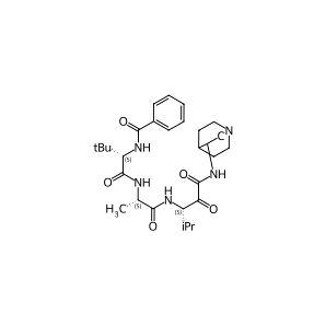 CC(C)[C@H](NC(=O)[C@H](C)NC(=O)[C@@H](NC(=O)c1ccccc1)C(C)(C)C)C(=O)C(=O)NC1CN2CCC1CC2